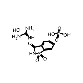 Cl.N=C(N)N.O=C1NS(=O)(=O)c2ccccc21.O=S(=O)(O)O